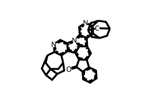 O=C1c2ccccc2-c2cc3c4c5c(ncc4n4c6cnc7c(c6c(c21)c34)C1CC2CC3CC7CC32C1)C1CC2CC(C1)CC5C2